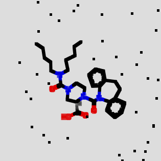 CCCCCN(CCCCC)C(=O)N1CCN(C(=O)N2c3ccccc3CCc3ccccc32)[C@H](C(=O)O)C1